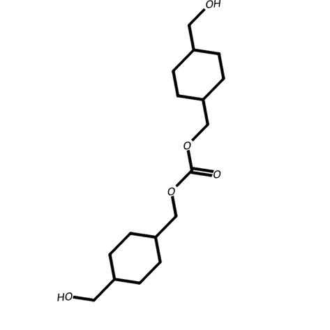 O=C(OCC1CCC(CO)CC1)OCC1CCC(CO)CC1